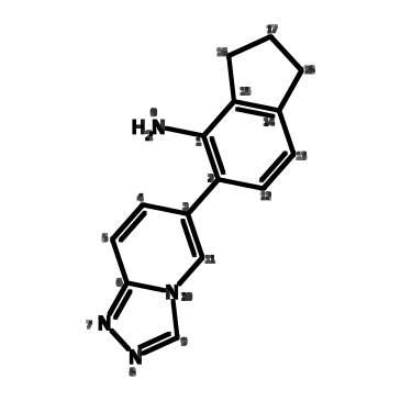 Nc1c(-c2ccc3nncn3c2)ccc2c1CCC2